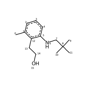 Cc1cccc(NCC(C)(C)C)c1CCO